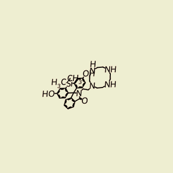 C[Si]1(C)c2cc(O)ccc2C2(c3ccccc3C(=O)N2CCN2CCNCCNCCNCC2)c2ccc(O)cc21